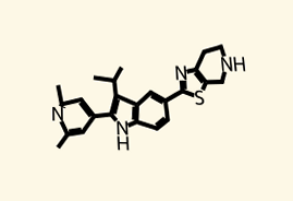 Cc1cc(-c2[nH]c3ccc(-c4nc5c(s4)CNCC5)cc3c2C(C)C)cc(C)n1